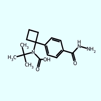 CC(C)(C)N(C(=O)O)C1(c2ccc(C(=O)NN)cc2)CCC1